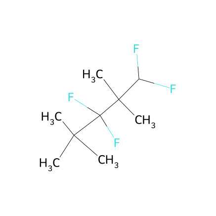 CC(C)(C)C(F)(F)C(C)(C)C(F)F